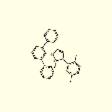 Cc1ccc(C)c(N2C=CN(c3c(-c4ccccc4)cccc3-c3ccccc3)[C@H]2C)c1